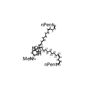 CCCCC/C=C\C/C=C\CCCCCCCCC1(CCCCCCCC/C=C\C/C=C\CCCCC)O[C@H]2CC[C@@H](CNC)C[C@@H]2O1